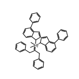 [CH3][Hf]([CH3])(=[C](Cc1ccccc1)Cc1ccccc1)([CH]1C=Cc2c(-c3ccccc3)cccc21)[CH]1C=Cc2c(-c3ccccc3)cccc21